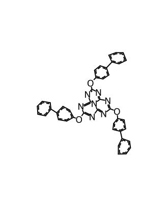 c1ccc(-c2ccc(OC3=NC4=NC(Oc5ccc(-c6ccccc6)cc5)=NC5=NC(Oc6ccc(-c7ccccc7)cc6)=NC(=N3)N45)cc2)cc1